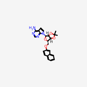 CC1(C)O[C@@H]2[C@H](O1)[C@@H](COc1ccc3ccccc3c1)O[C@H]2n1ccc2c(N)ncnc21